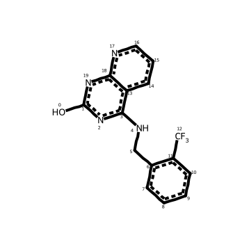 Oc1nc(NCc2ccccc2C(F)(F)F)c2cccnc2n1